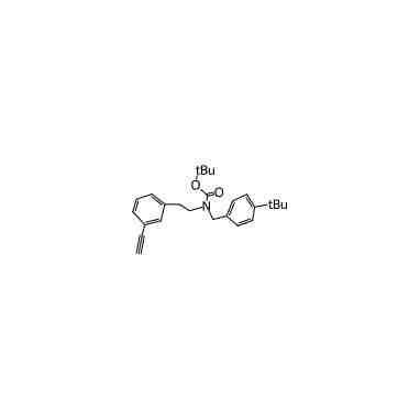 C#Cc1cccc(CCN(Cc2ccc(C(C)(C)C)cc2)C(=O)OC(C)(C)C)c1